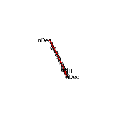 CCCCCCCCCCCCCCCCCCCC(=O)CCCCCCCCCCCCCCCCCCCCCCCCCCCCCC(=O)NC[C@@H](O)CCCCCCCCCCCCCCCC